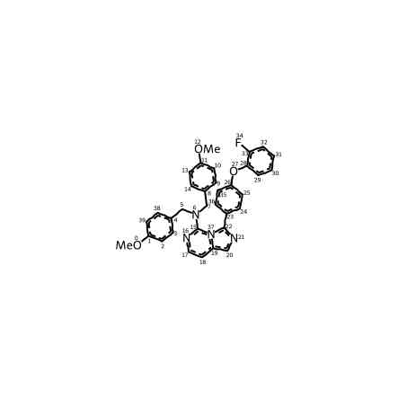 COc1ccc(CN(Cc2ccc(OC)cc2)c2nccc3cnc(-c4ccc(Oc5ccccc5F)cc4)n23)cc1